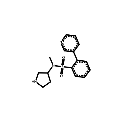 CN(C1CCNC1)S(=O)(=O)c1ccccc1-c1cccnc1